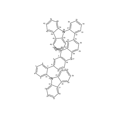 O=c1c2cc(-c3ccccc3-n3c4ccccc4c4ccccc43)ccc2sc2ccc(-c3ccccc3-n3c4ccccc4c4ccccc43)cc12